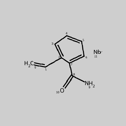 C=Cc1ccccc1C(N)=O.[Nb]